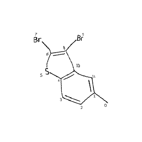 Cc1ccc2sc(Br)c(Br)c2c1